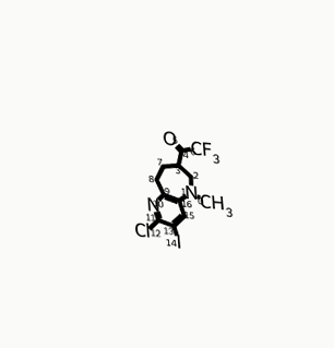 CN1CC(C(=O)C(F)(F)F)CCc2nc(Cl)c(I)cc21